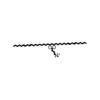 CCCCCC=CCC=CCCCCCCCCC(CCCCCCCCC=CCC=CCCCCC)OC(=O)CCC[N+](C)(C)C